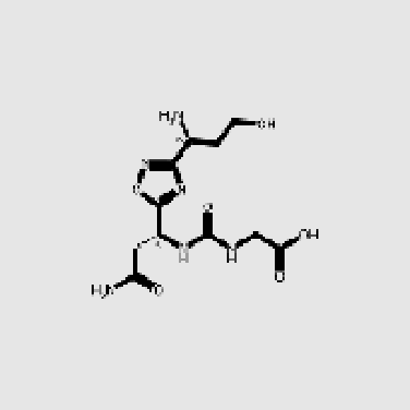 NC(=O)C[C@@H](NC(=O)NCC(=O)O)c1nc([C@@H](N)CCO)no1